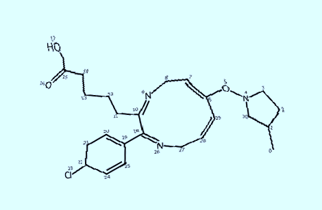 CC1CCN(OC2=C/C/N=C(CCCCC(=O)O)\C(C3=CCC(Cl)C=C3)=N/C/C=C\2)C1